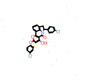 O=c1oc2c(c(O)c1Sc1cccc(Cl)c1)c(=O)n1c3c(cccc23)CC1c1ccc(Cl)cc1